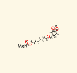 CNC(=O)OCCCCCCCCOCc1ccc2c(c1)OCO2